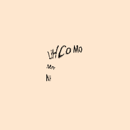 [Co].[LiH].[Mn].[Mo].[Ni]